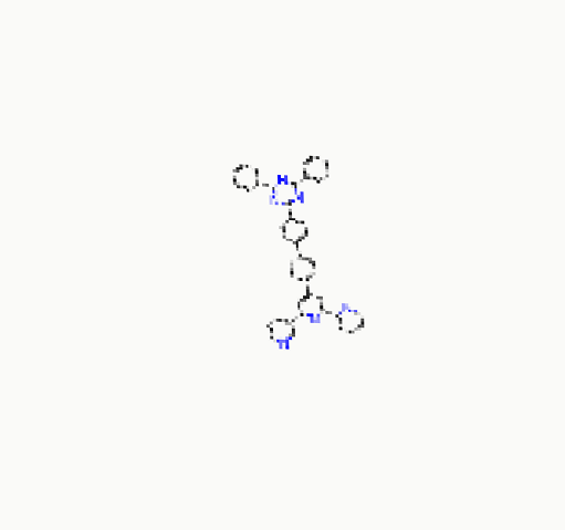 c1ccc(-c2nc(-c3ccccc3)nc(-c3ccc(-c4ccc(-c5cc(-c6cccnc6)nc(-c6ccccn6)c5)cc4)cc3)n2)cc1